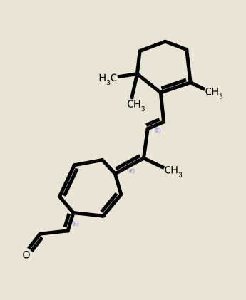 CC1=C(/C=C/C(C)=C2C=C/C(=C/C=O)C=CC/2)C(C)(C)CCC1